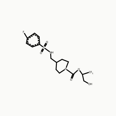 O=C(OC(CO)C(F)(F)F)N1CCC(CNS(=O)(=O)c2ccc(F)cc2)CC1